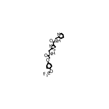 O=C(COc1ccc(OC(F)(F)F)cc1)NCc1nc(C(=O)NCc2ccccn2)cs1